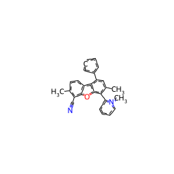 Cc1ccc2c(oc3c(-c4cccc[n+]4C)c(C)cc(-c4ccccc4)c32)c1C#N